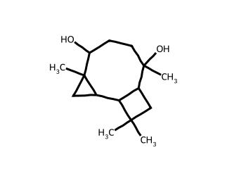 CC1(C)CC2C1C1CC1(C)C(O)CCC2(C)O